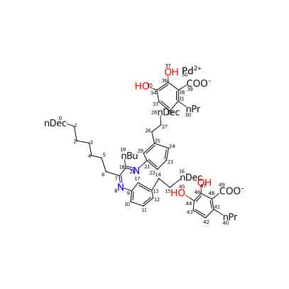 CCCCCCCCCCCCCCCCC(=Nc1cccc(CCCCCCCCCCCC)c1)C(CCCC)=Nc1cccc(CCCCCCCCCCCC)c1.CCCc1ccc(O)c(O)c1C(=O)[O-].CCCc1ccc(O)c(O)c1C(=O)[O-].[Pd+2]